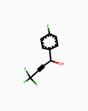 OC(C#CC(F)(F)F)c1ccc(F)cc1